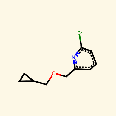 Brc1cccc(COCC2CC2)n1